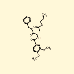 C=CCOC(=O)C[C@H](NC(=O)c1ccc(OC)c(OC)c1)C(=O)OCc1ccccc1